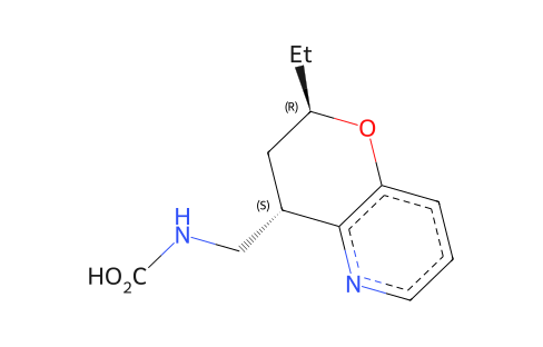 CC[C@@H]1C[C@@H](CNC(=O)O)c2ncccc2O1